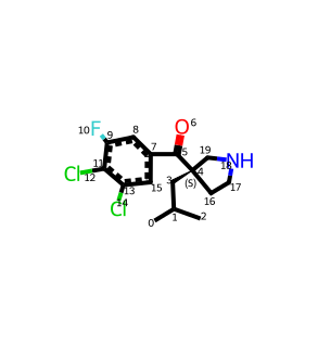 CC(C)C[C@]1(C(=O)c2cc(F)c(Cl)c(Cl)c2)CCNC1